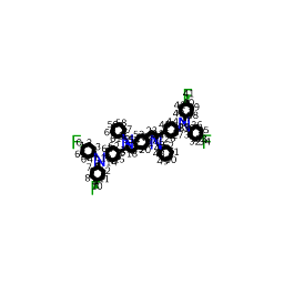 Fc1ccc(N(c2ccc(F)cc2)c2ccc(-c3cc4cc5c(cc(-c6ccc(N(c7ccc(F)cc7)c7ccc(F)cc7)cc6)n5-c5ccccc5)cc4n3-c3ccccc3)cc2)cc1